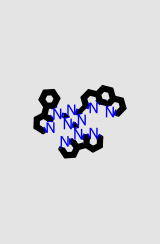 c1cnc2c(c1)ccc1ccc(-c3nc(-n4c5ccccc5c5cccnc54)nc(-n4c5ncccc5c5cccnc54)n3)nc12